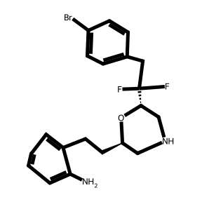 Nc1ccccc1CC[C@@H]1CNC[C@@H](C(F)(F)Cc2ccc(Br)cc2)O1